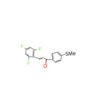 CSc1ccc(C(=O)/C=C/c2c(F)cc(F)cc2F)cc1